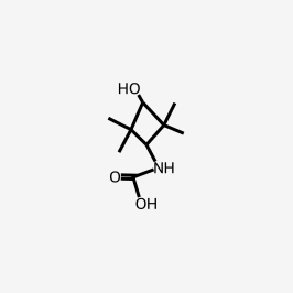 CC1(C)C(O)C(C)(C)C1NC(=O)O